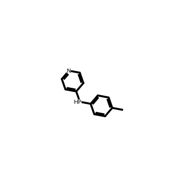 Cc1ccc(Pc2ccncc2)cc1